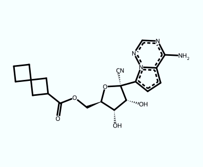 N#C[C@@]1(c2ccc3c(N)ncnn23)O[C@H](COC(=O)C2CC3(CCC3)C2)[C@@H](O)[C@H]1O